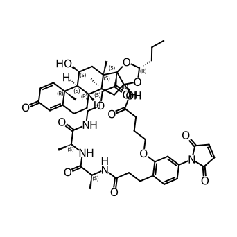 CCC[C@@H]1O[C@@H]2C[C@@]3(C)[C@@H]4CCC5=CC(=O)C=C[C@]5(C)[C@H]4[C@@H](O)C[C@]3(C)[C@]2(C(=O)COCNC(=O)[C@H](C)NC(=O)[C@H](C)NC(=O)CCc2ccc(N3C(=O)C=CC3=O)cc2OCCCC(=O)O)O1